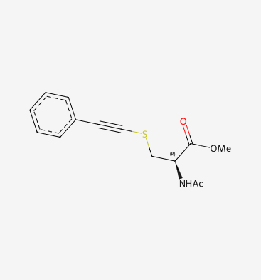 COC(=O)[C@H](CSC#Cc1ccccc1)NC(C)=O